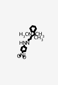 CN1/C(=C\C=N\Nc2ccc([N+](=O)[O-])cc2)C(C)(C)c2ccccc21